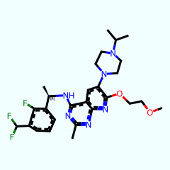 COCCOc1nc2nc(C)nc(N[C@H](C)c3cccc(C(F)F)c3F)c2cc1N1CCN(C(C)C)CC1